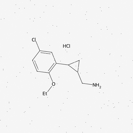 CCOc1ccc(Cl)cc1C1CC1CN.Cl